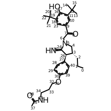 CCC[C@H]1CN(CC(=O)c2cc(C(C)(C)C)c(O)c(C(C)(C)C)c2)C(=N)[C@@H]1c1ccc(OCCCNC(C)=O)cc1